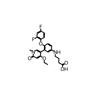 CCOc1cc(=O)n(C)cc1-c1cc(NCCCC(=O)O)ccc1Oc1ccc(F)cc1F